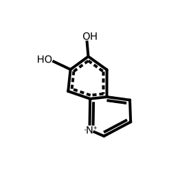 Oc1cc2c(cc1O)=[N+]C=CC=2